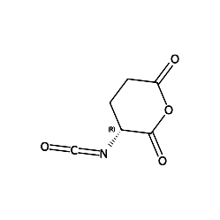 O=C=N[C@@H]1CCC(=O)OC1=O